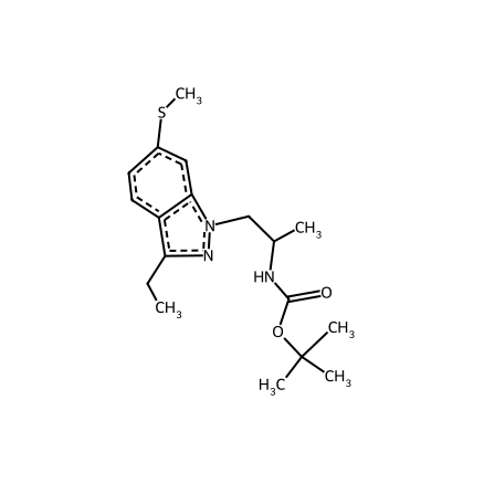 CCc1nn(CC(C)NC(=O)OC(C)(C)C)c2cc(SC)ccc12